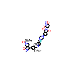 CNC(=O)N1CCc2c(-c3cc(OC)c(CN4CCC(F)(CN5CCN(c6ccc7c(c6)C(=O)N(C6CCC(=O)NC6=O)C7=O)CC5)CC4)c(OC)c3)cn(C)c(=O)c2C1